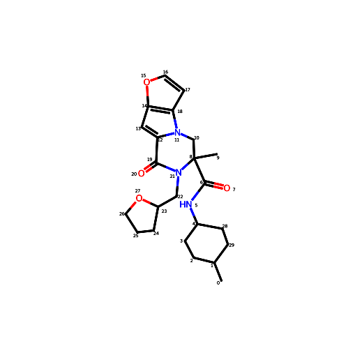 CC1CCC(NC(=O)C2(C)Cn3c(cc4occc43)C(=O)N2CC2CCCO2)CC1